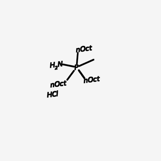 CCCCCCCCP(C)(N)(CCCCCCCC)CCCCCCCC.Cl